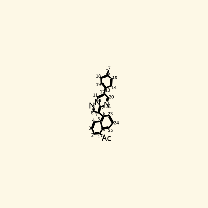 CC(=O)c1cccc2c(-c3cnn4cc(-c5ccc(C)cc5)cnc34)cccc12